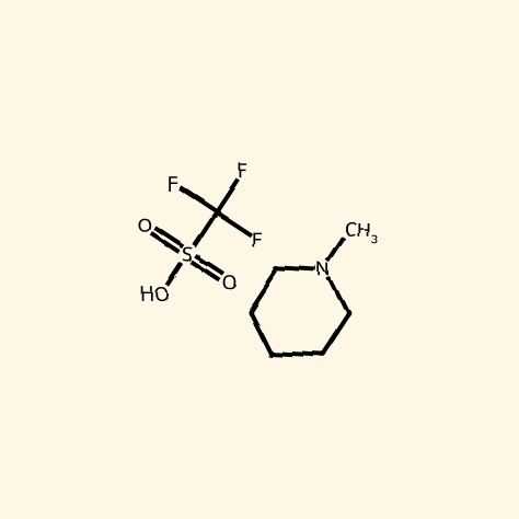 CN1CCCCC1.O=S(=O)(O)C(F)(F)F